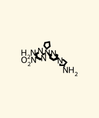 Nc1nc(N(c2ccc(N3CCC(N)C3)cn2)C2CCCC2)ncc1[N+](=O)[O-]